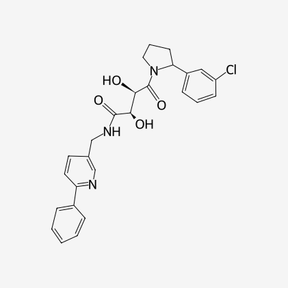 O=C(NCc1ccc(-c2ccccc2)nc1)[C@H](O)[C@@H](O)C(=O)N1CCCC1c1cccc(Cl)c1